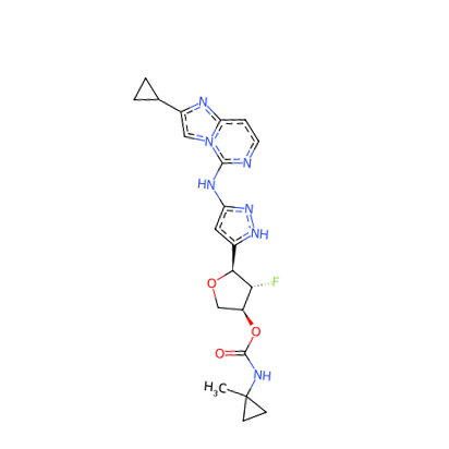 CC1(NC(=O)O[C@H]2CO[C@@H](c3cc(Nc4nccc5nc(C6CC6)cn45)n[nH]3)[C@@H]2F)CC1